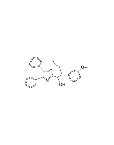 CCCC(c1cccc(OC)c1)C(O)c1nc(-c2ccccc2)c(-c2ccccc2)o1